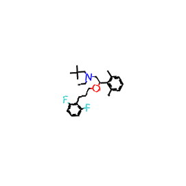 CCN(CC(OCCCc1c(F)cccc1F)c1c(C)cccc1C)CC(C)(C)C